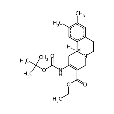 CCOC(=O)C1=C(NC(=O)OC(C)(C)C)C[C@H]2c3cc(C)c(C)cc3CCN2C1